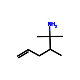 C=CCC(C)C(C)(C)N